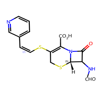 O=CNC1C(=O)N2C(C(=O)O)=C(S/C=C\c3cccnc3)CS[C@@H]12